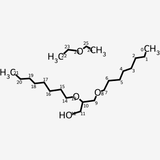 CCCCCCCCOCC(CO)OCCCCCCCC.CCOCC